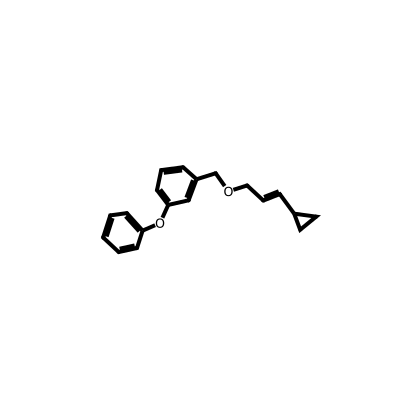 C(=CC1CC1)COCc1cccc(Oc2ccccc2)c1